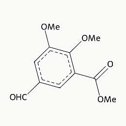 COC(=O)c1cc(C=O)cc(OC)c1OC